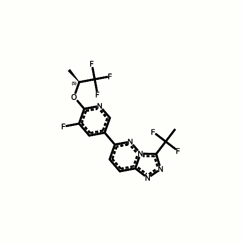 C[C@H](Oc1ncc(-c2ccc3nnc(C(C)(F)F)n3n2)cc1F)C(F)(F)F